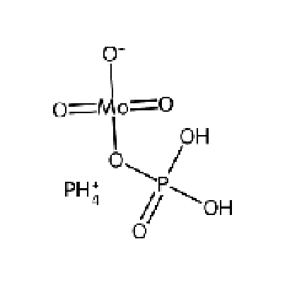 O=P(O)(O)[O][Mo](=[O])(=[O])[O-].[PH4+]